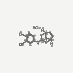 CN1[C@@H]2C=C[C@H]1C[C@H](Oc1ccc(Cl)c(Cl)c1)C2.Cl